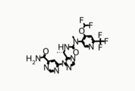 C[C@H](NC(=O)N(C)c1cnc(C(F)(F)F)cc1OC(F)F)c1ncnn1-c1cc(C(N)=O)ncn1